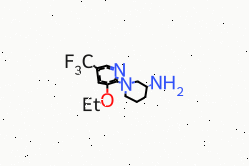 CCOc1cc(C(F)(F)F)cnc1N1CCC[C@@H](N)C1